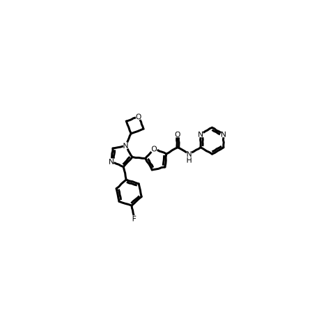 O=C(Nc1ccncn1)c1ccc(-c2c(-c3ccc(F)cc3)ncn2C2COC2)o1